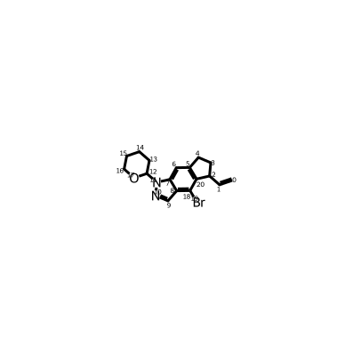 C=CC1CCc2cc3c(cnn3C3CCCCO3)c(Br)c21